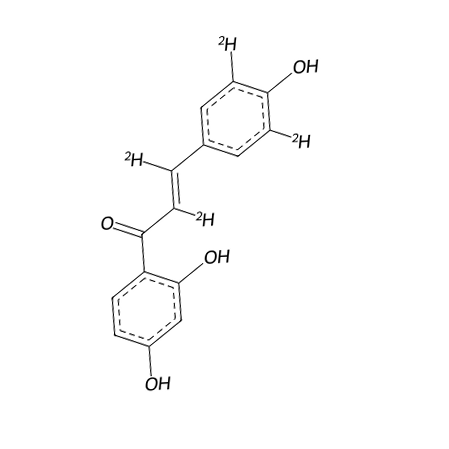 [2H]/C(C(=O)c1ccc(O)cc1O)=C(/[2H])c1cc([2H])c(O)c([2H])c1